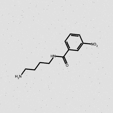 NCCCCNC(=O)c1cccc([N+](=O)[O-])c1